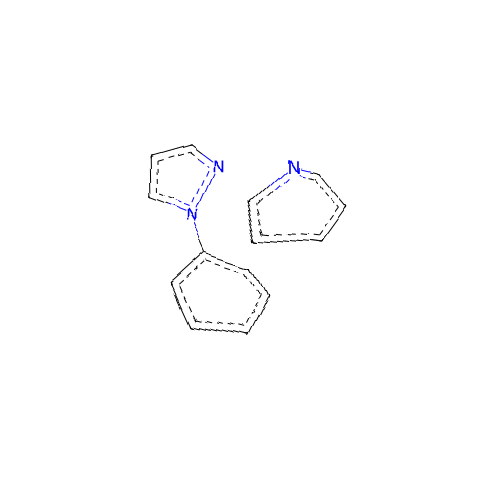 c1ccc(-n2cccn2)cc1.c1ccncc1